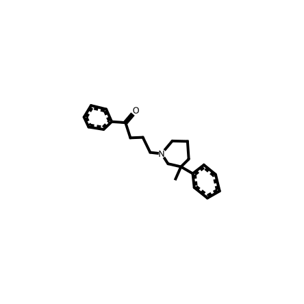 CC1(c2ccccc2)CCCN(CCCC(=O)c2ccccc2)C1